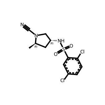 C[C@@H]1C[C@@H](NS(=O)(=O)c2cc(Cl)ccc2Cl)CN1C#N